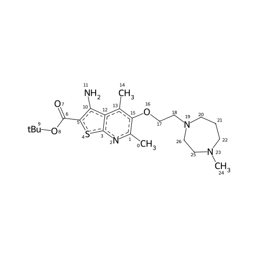 Cc1nc2sc(C(=O)OC(C)(C)C)c(N)c2c(C)c1OCCN1CCCN(C)CC1